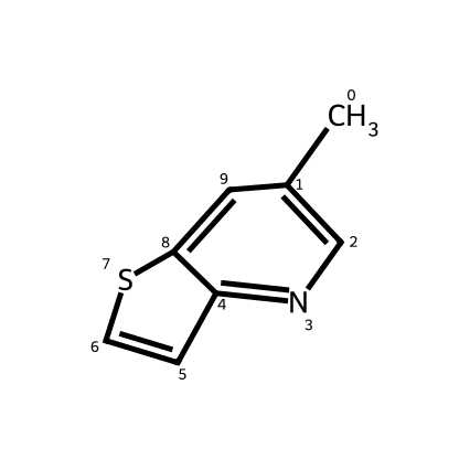 Cc1cnc2ccsc2c1